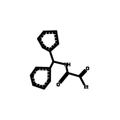 CCC(=O)C(=O)NC(c1ccccc1)c1ccccc1